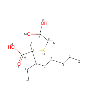 CCCCCC(CC)C(C)(SC(C)C(=O)O)C(=O)O